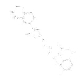 O=C1COc2ccc(N3C[C@@H](CCNC[C@H]4Cc5c(F)ccc6c5N4C(=O)CC6)OC3=O)cc2N1